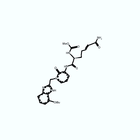 COC(=O)N[C@@H](CC/C=C/C(N)=O)C(=O)Nc1cccn(Cc2nc3cccc(OCC(C)C)c3[nH]2)c1=O